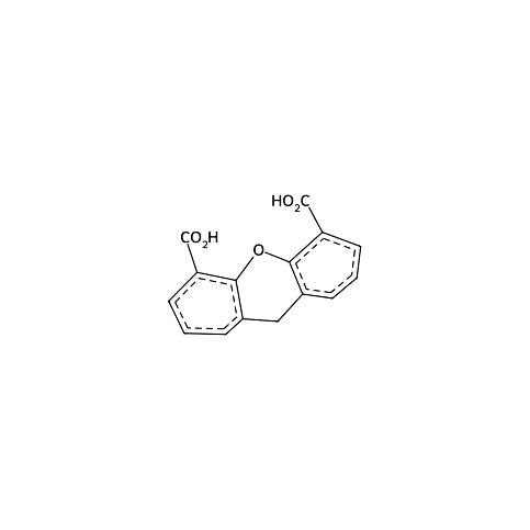 O=C(O)c1cccc2c1Oc1c(cccc1C(=O)O)C2